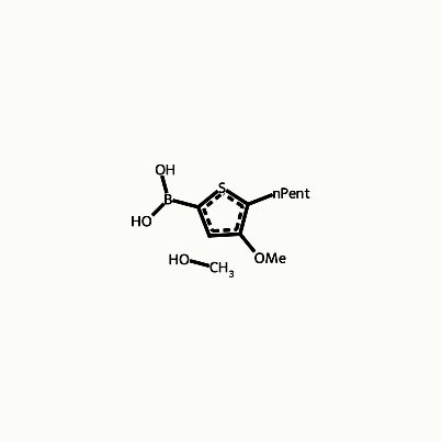 CCCCCc1sc(B(O)O)cc1OC.CO